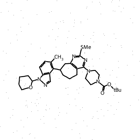 CSc1nc2c(c(N3CCN(C(=O)OC(C)(C)C)CC3)n1)CCCC(c1c(C)ccc3c1cnn3C1CCCCO1)C2